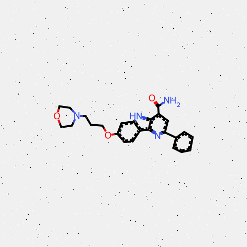 NC(=O)c1cc(-c2ccccc2)nc2c1[nH]c1cc(OCCCN3CCOCC3)ccc12